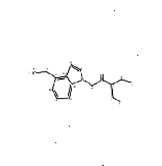 CCC(CC)NCn1ccc2c(CO)cccc21